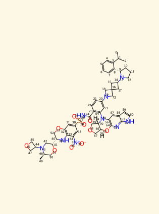 CC(C)c1ccccc1[C@@H]1CCCN1C1CC2(C1)CN(c1ccc(C(=O)NS(=O)(=O)c3cc4c(c([N+](=O)[O-])c3)N[C@H](C3CN(C5COC5)[C@H](C)CO3)CO4)c(N3c4cc5cc[nH]c5nc4O[C@H]4COC[C@@H]43)c1)C2